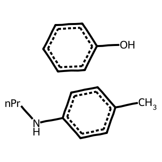 CCCNc1ccc(C)cc1.Oc1ccccc1